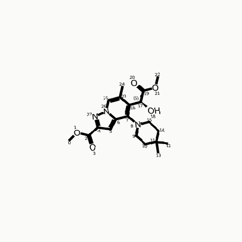 COC(=O)c1cc2c(N3CCC(C)(C)CC3)c([C@H](O)C(=O)OC)c(C)cn2n1